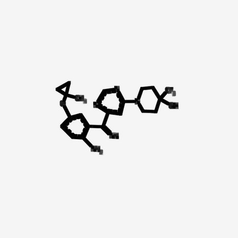 CC1(Oc2ccc(N)c(C(=N)c3cc(N4CCC(O)(C(F)(F)F)CC4)ncn3)c2)CC1